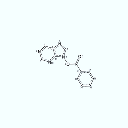 O=C(On1cnc2cncnc21)c1ccccc1